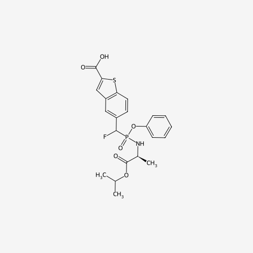 CC(C)OC(=O)[C@H](C)NP(=O)(Oc1ccccc1)C(F)c1ccc2sc(C(=O)O)cc2c1